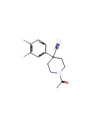 CC(=O)N1CCC(C#N)(c2ccc(Cl)c(Cl)c2)CC1